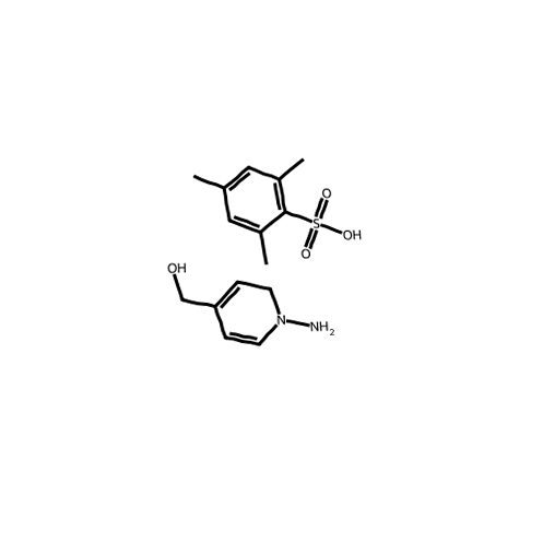 Cc1cc(C)c(S(=O)(=O)O)c(C)c1.NN1C=CC(CO)=CC1